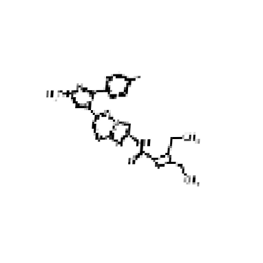 CCC1CC(C(=O)Nc2cn3nc(-c4cn(C)nc4-c4ccc(F)cc4)ccc3n2)C1CC